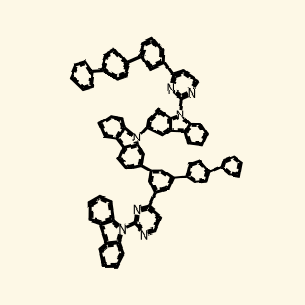 c1ccc(-c2ccc(-c3cccc(-c4ccnc(-n5c6ccccc6c6cc(-n7c8ccccc8c8ccc(-c9cc(-c%10ccc(-c%11ccccc%11)cc%10)cc(-c%10ccnc(-n%11c%12ccccc%12c%12ccccc%12%11)n%10)c9)cc87)ccc65)n4)c3)cc2)cc1